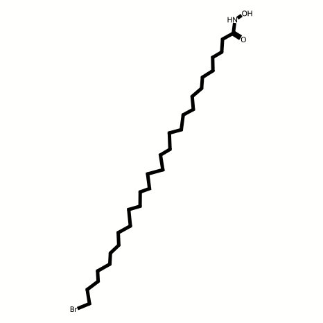 O=C(CCCCCCCCCCCCCCCCCCCCCCCCCCCCBr)NO